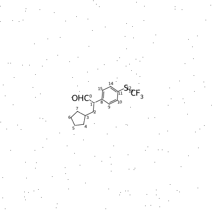 O=CC(CC1CCCC1)c1ccc(SC(F)(F)F)cc1